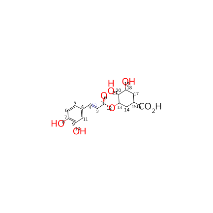 O=C(/C=C/c1ccc(O)c(O)c1)OC1CC(C(=O)O)CC(O)C1O